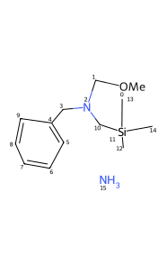 COCN(Cc1ccccc1)C[Si](C)(C)C.N